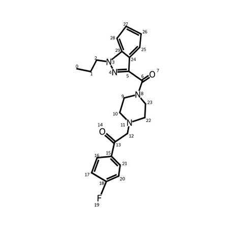 CCCn1nc(C(=O)N2CCN(CC(=O)c3ccc(F)cc3)CC2)c2ccccc21